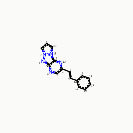 C(=Cc1cnc2[n-][n+]3cccn3c2n1)c1ccccc1